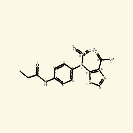 CCC(=O)Nc1ccc(N(c2scnc2C(=O)O)[SH](=O)=O)cc1